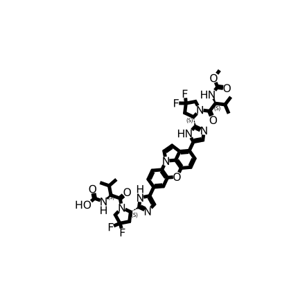 COC(=O)N[C@H](C(=O)N1CC(F)(F)C[C@H]1c1ncc(-c2ccc3c4c2ccn4-c2ccc(-c4cnc([C@@H]5CC(F)(F)CN5C(=O)[C@@H](NC(=O)O)C(C)C)[nH]4)cc2O3)[nH]1)C(C)C